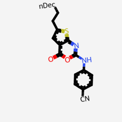 CCCCCCCCCCCCc1cc2c(=O)oc(Nc3ccc(C#N)cc3)nc2s1